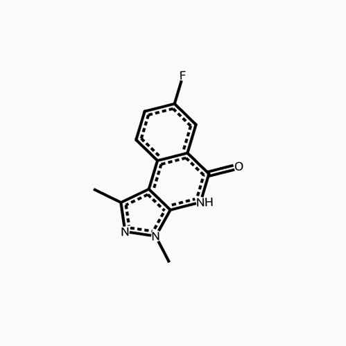 Cc1nn(C)c2[nH]c(=O)c3cc(F)ccc3c12